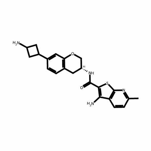 Cc1ccc2c(N)c(C(=O)N[C@H]3COc4cc(C5CC(N)C5)ccc4C3)sc2n1